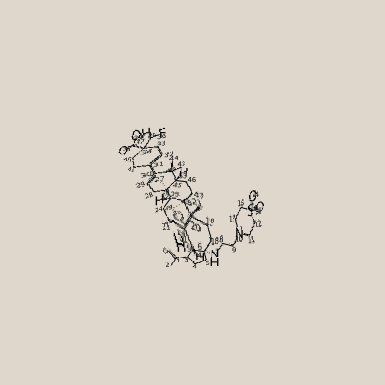 C=C(C)C1CC[C@]2(NCCN3CCS(=O)(=O)CC3)CC[C@]3(C)[C@H](CC[C@@H]4[C@@]5(C)CC=C(C6=CCC(CF)(C(=O)O)CC6)C(C)(C)[C@@H]5CC[C@]43C)[C@@H]12